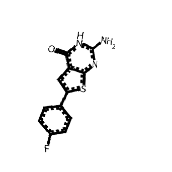 Nc1nc2sc(-c3ccc(F)cc3)cc2c(=O)[nH]1